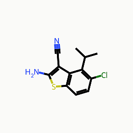 CC(C)c1c(Cl)ccc2sc(N)c(C#N)c12